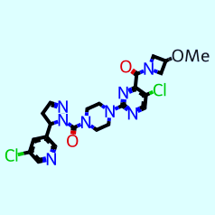 COC1CN(C(=O)c2nc(N3CCN(C(=O)N4N=CCC4c4cncc(Cl)c4)CC3)ncc2Cl)C1